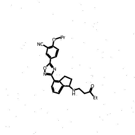 CCC(=O)CCNC1CCc2c(-c3noc(-c4ccc(OC(C)C)c(C#N)c4)n3)cccc21